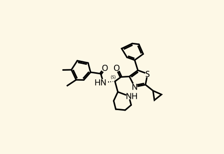 Cc1ccc(C(=O)N[C@H](C(=O)c2nc(C3CC3)sc2-c2ccccc2)C2CCCCN2)cc1C